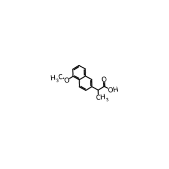 COc1cccc2cc(C(C)C(=O)O)ccc12